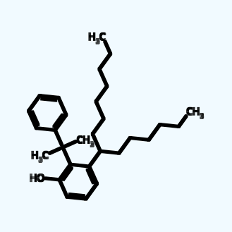 CCCCCCCC(CCCCCC)c1cccc(O)c1C(C)(C)c1ccccc1